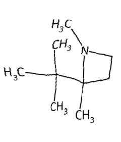 CN1CCC1(C)C(C)(C)C